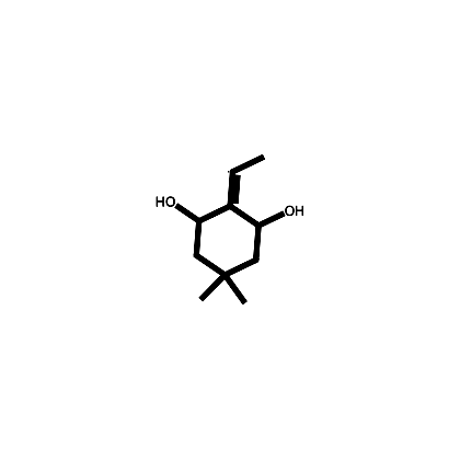 C[C]=C1C(O)CC(C)(C)CC1O